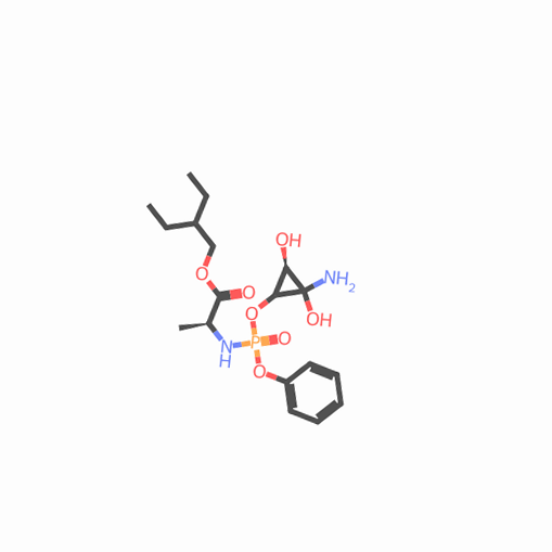 CCC(CC)COC(=O)[C@H](C)NP(=O)(Oc1ccccc1)OC1[C@@H](O)C1(N)O